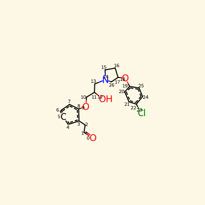 O=CCc1ccccc1OCC(O)CN1CCC(Oc2ccc(Cl)cc2)C1